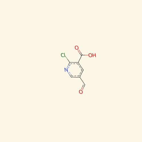 O=Cc1cnc(Cl)c(C(=O)O)c1